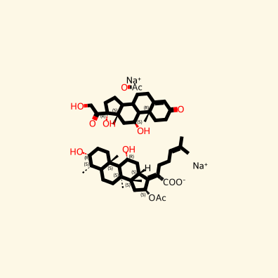 CC(=O)O[C@H]1C[C@@]2(C)[C@H](C[C@@H](O)C3[C@@]4(C)CC[C@@H](O)[C@@H](C)C4CC[C@@]32C)C1=C(CCC=C(C)C)C(=O)[O-].CC(=O)[O-].C[C@]12CCC(=O)C=C1CCC1C2[C@@H](O)C[C@@]2(C)C1CC[C@]2(O)C(=O)CO.[Na+].[Na+]